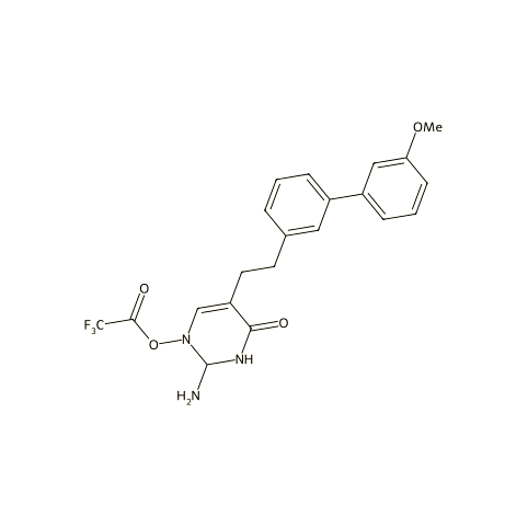 COc1cccc(-c2cccc(CCC3=CN(OC(=O)C(F)(F)F)C(N)NC3=O)c2)c1